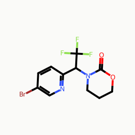 O=C1OCCCN1C(c1ccc(Br)cn1)C(F)(F)F